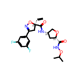 C=C[C@]1(C(=O)N[C@@H]2CO[C@H](C(=O)NOC(C)C)C2)CC(c2cc(F)cc(F)c2)=NO1